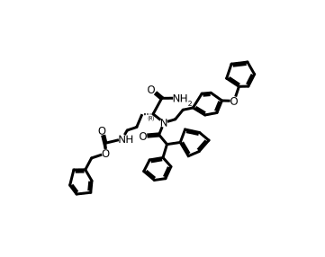 NC(=O)[C@@H](CCCNC(=O)OCc1ccccc1)N(CCc1ccc(Oc2ccccc2)cc1)C(=O)C(c1ccccc1)c1ccccc1